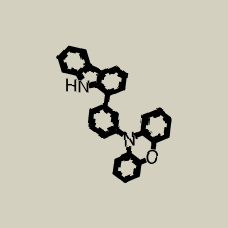 c1cc(-c2cccc3c2[nH]c2ccccc23)cc(N2c3ccccc3Oc3ccccc32)c1